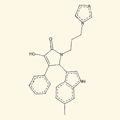 Cc1ccc2c(C3C(c4ccccc4)=C(O)C(=O)N3CCCn3ccnc3)c[nH]c2c1